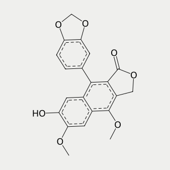 COc1cc2c(OC)c3c(c(-c4ccc5c(c4)OCO5)c2cc1O)C(=O)OC3